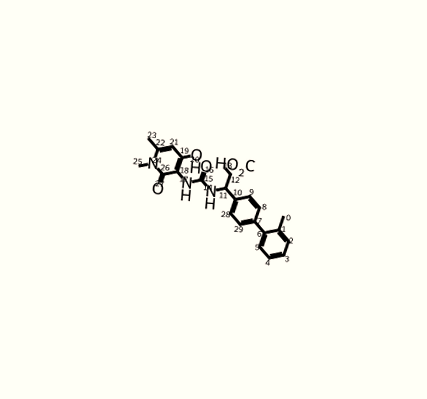 Cc1ccccc1-c1ccc(C(CC(=O)O)NC(=O)Nc2c(O)cc(C)n(C)c2=O)cc1